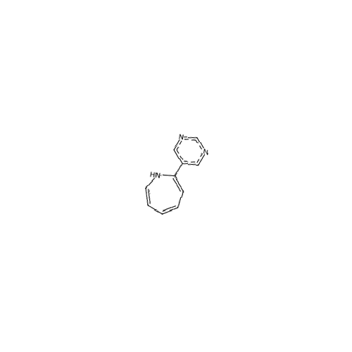 C1=CC=C(c2cncnc2)NC=C1